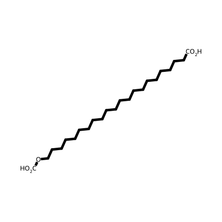 O=C(O)CCCCCCCCCCCCCCCCCCCCCOC(=O)O